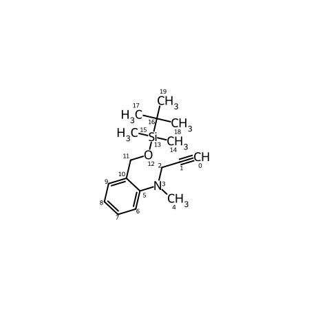 C#CCN(C)c1ccccc1CO[Si](C)(C)C(C)(C)C